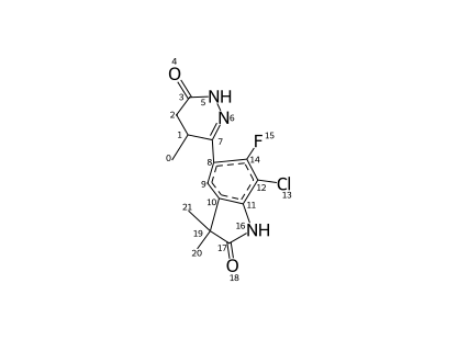 CC1CC(=O)NN=C1c1cc2c(c(Cl)c1F)NC(=O)C2(C)C